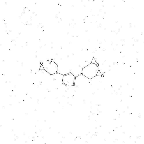 CCN(CC1CO1)c1cccc(N(CC2CO2)CC2CO2)c1